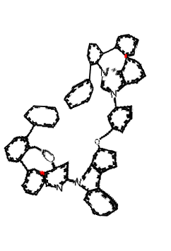 c1ccc(-c2cccc(-c3ccccc3)c2Oc2ccnc(-n3c4ccccc4c4ccc(Oc5cccc(-n6c[n+](-c7c(-c8ccccc8)cccc7-c7ccccc7)c7ccccc76)c5)cc43)c2)cc1